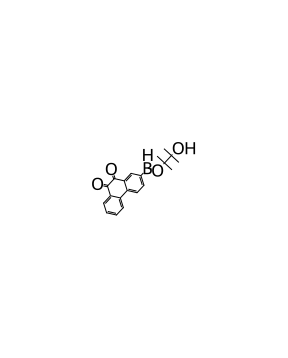 CC(C)(O)C(C)(C)OBc1ccc2c(c1)C(=O)C(=O)c1ccccc1-2